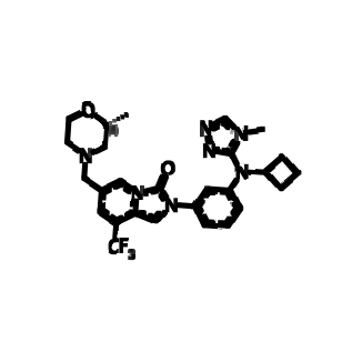 C[C@@H]1CN(Cc2cc(C(F)(F)F)c3cn(-c4cccc(N(c5nncn5C)C5CCC5)c4)c(=O)n3c2)CCO1